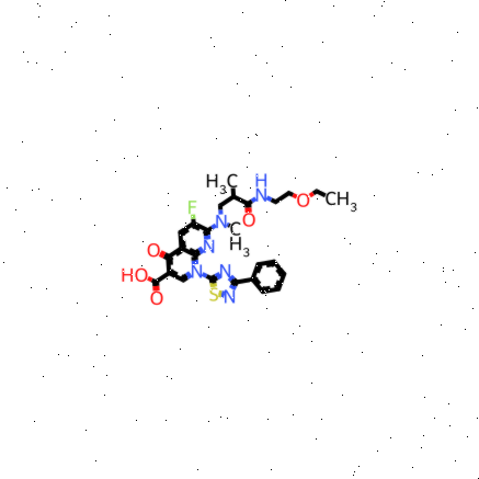 CCOCCNC(=O)C(C)CN(C)c1nc2c(cc1F)c(=O)c(C(=O)O)cn2-c1nc(-c2ccccc2)ns1